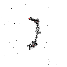 O=C(CN1CCC(COc2cc(F)c3c(=O)[nH]c(CSC4CCOCC4)nc3c2)CC1)NCCCCCCCCNc1cccc2c1C(=O)N(C1CCC(=O)NC1=O)C2=O